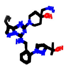 CC(C)c1cnn2c(NCc3ccccc3-n3ccc(C(C)(C)O)n3)nc(N3CCC(O)(CN)CC3)nc12